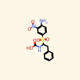 Nc1ccc(S(=O)(=O)C(Cc2ccccc2)NC(=O)O)cc1[N+](=O)[O-]